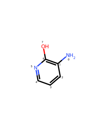 Nc1[c]ccnc1O